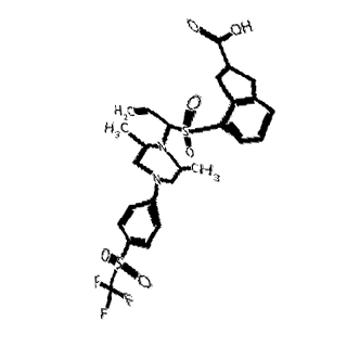 C=CC(N1C(C)CN(c2ccc(S(=O)(=O)C(F)(F)F)cc2)CC1C)S(=O)(=O)c1cccc2c1CC(C(=O)O)C2